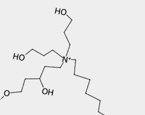 CCCCCCCCCCCCCCCC[N+](CCCO)(CCCO)CCC(O)CCOS(=O)(=O)O